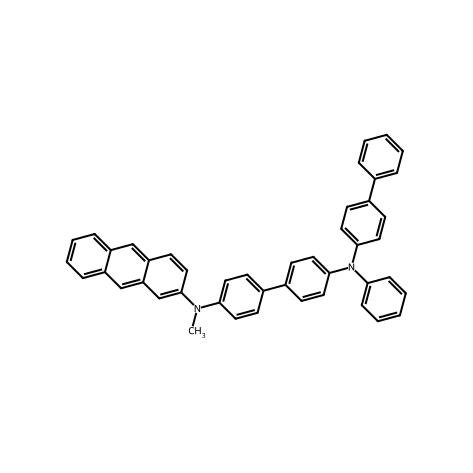 CN(c1ccc(-c2ccc(N(c3ccccc3)c3ccc(-c4ccccc4)cc3)cc2)cc1)c1ccc2cc3ccccc3cc2c1